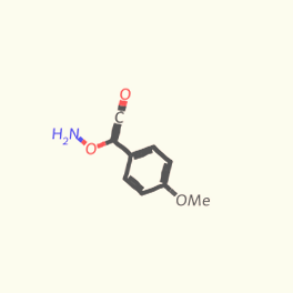 COc1ccc(C(=C=O)ON)cc1